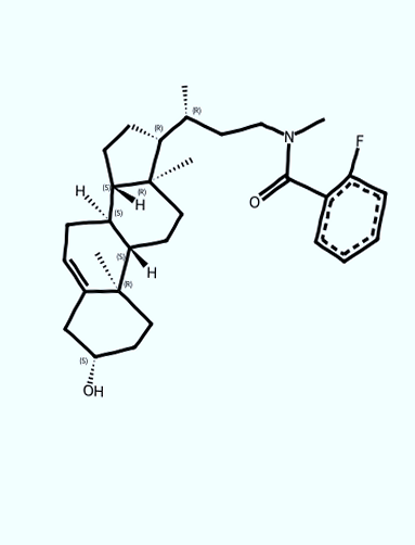 C[C@H](CCN(C)C(=O)c1ccccc1F)[C@H]1CC[C@H]2[C@@H]3CC=C4C[C@@H](O)CC[C@]4(C)[C@H]3CC[C@]12C